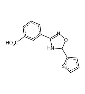 O=C(O)c1cccc(C2=NOC(c3cccs3)N2)c1